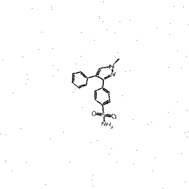 Cn1cc(-c2ccccc2)c(-c2ccc(S(N)(=O)=O)cc2)n1